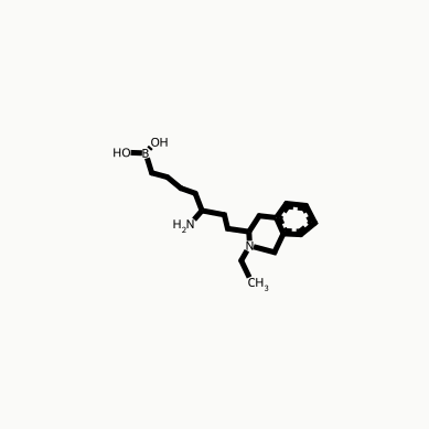 CCN1Cc2ccccc2CC1CCC(N)CCCCB(O)O